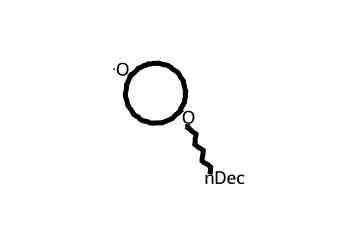 [CH2]CCCCCCCCCCCCCCCOC1CCCCCCCCC([O])CCCCCCCC1